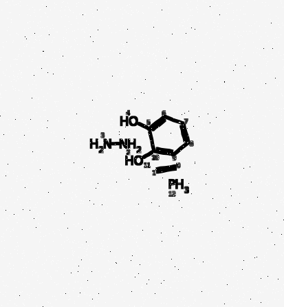 C=C.NN.Oc1ccccc1O.P